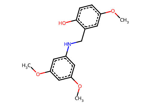 COc1cc(NCc2cc(OC)ccc2O)cc(OC)c1